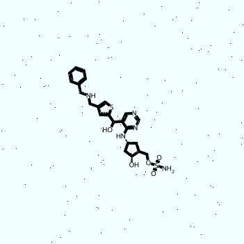 NS(=O)(=O)OCC1C[C@@H](Nc2ncncc2C(O)c2cc(CNCc3ccccc3)cs2)C[C@@H]1O